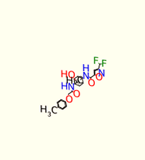 Cc1ccc(OCC(=O)NC23CCC(NC(=O)c4cc(C(F)F)no4)(CC2)C[C@@H]3O)cc1